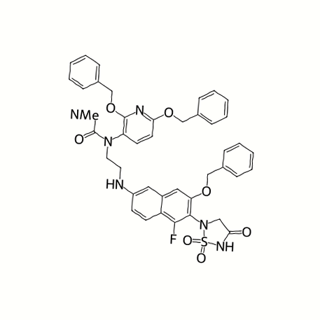 CNC(=O)N(CCNc1ccc2c(F)c(N3CC(=O)NS3(=O)=O)c(OCc3ccccc3)cc2c1)c1ccc(OCc2ccccc2)nc1OCc1ccccc1